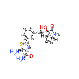 CN1C(=O)[C@@](O)(C#Cc2cccc(-c3nc(C(N)=O)c(N)s3)c2)[C@@H]2C=C[C@@H]21